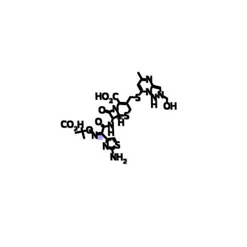 CC1=NC2=CN(CO)NN2C(SCC2=C(C(=O)O)N3C(=O)C(NC(=O)/C(=N\OC(C)(C)C(=O)O)c4csc(N)n4)[C@H]3SC2)=C1